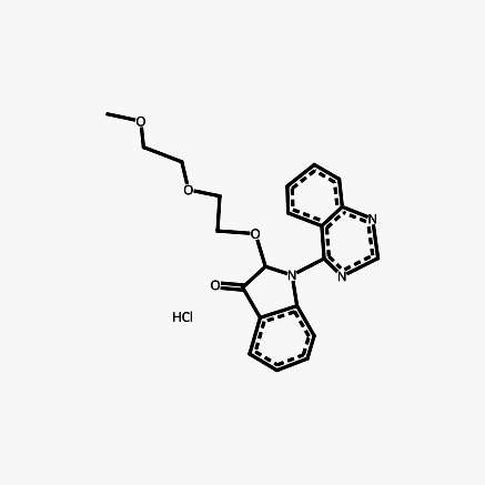 COCCOCCOC1C(=O)c2ccccc2N1c1ncnc2ccccc12.Cl